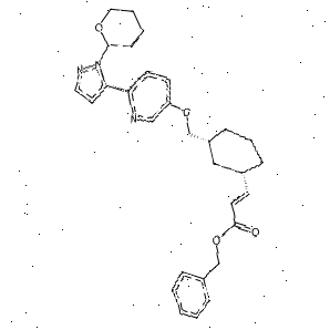 O=C(/C=C/[C@H]1CCC[C@@H](COc2ccc(-c3ccnn3C3CCCCO3)nc2)C1)OCc1ccccc1